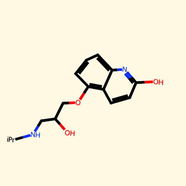 CC(C)NCC(O)COc1cccc2nc(O)ccc12